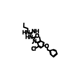 CCCNC(=N)NC(=O)N(C)c1c(C)cc(OCc2ccccc2)cc1Cl